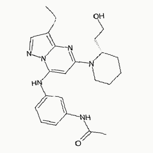 CCc1cnn2c(Nc3cccc(NC(C)=O)c3)cc(N3CCCC[C@H]3CCO)nc12